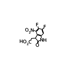 O=C(O)CC1C(=O)Nc2cc(F)c(F)c([N+](=O)[O-])c21